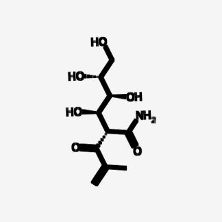 C=C(C)C(=O)[C@@H](C(N)=O)[C@@H](O)[C@H](O)[C@H](O)CO